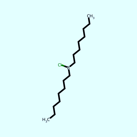 CCCCCCCCB(Cl)CCCCCCCC